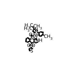 Cc1ccc(-n2nc(C(C)(C)C)cc2NC(=O)Nc2ccccc2C(C2CCNCC2)S(=O)(=O)c2ccsc2)cc1